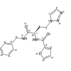 O=C(N[C@H](CCn1ccnn1)C(=O)NCc1ccccc1)c1ccco1